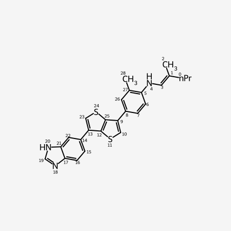 CCC/C(C)=C/Nc1ccc(-c2csc3c(-c4ccc5nc[nH]c5c4)csc23)cc1C